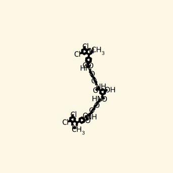 CN1Cc2c(Cl)cc(Cl)cc2C(c2ccc(S(=O)(=O)NCCOCCOCCNC(=O)c3cc(O)cc(C(=O)NCCOCCOCCNS(=O)(=O)c4ccc(C5CN(C)Cc6c(Cl)cc(Cl)cc65)cc4)c3)cc2)C1